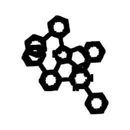 c1cccc(-c2cccc(-c3nc(-c4ccccc4)nc(-c4ccccc4)n3)c2-c2sc(-c3ccccc3-c3ccccc3)c3c2CCC=C3)c#1